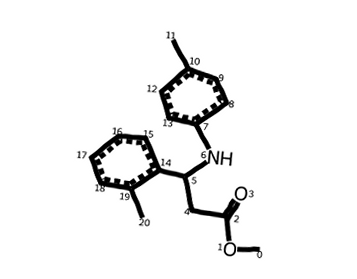 COC(=O)CC(Nc1ccc(C)cc1)c1ccccc1C